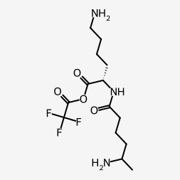 CC(N)CCCC(=O)N[C@@H](CCCCN)C(=O)OC(=O)C(F)(F)F